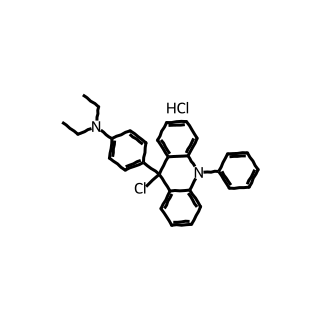 CCN(CC)c1ccc(C2(Cl)c3ccccc3N(c3ccccc3)c3ccccc32)cc1.Cl